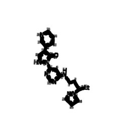 CCC(CCNc1cc(-n2[nH]cc(-c3cccnc3)c2=O)ncn1)n1cccn1